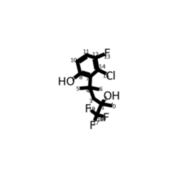 [CH2]C(O)(CC(C)(C)c1c(O)ccc(F)c1Cl)C(F)(F)F